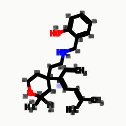 C=C/C(=C\C=C(C)C)C1(CCNCc2ccccc2O)CCOC(C)(CC)C1